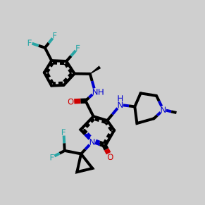 C[C@@H](NC(=O)c1cn(C2(C(F)F)CC2)c(=O)cc1NC1CCN(C)CC1)c1cccc(C(F)F)c1F